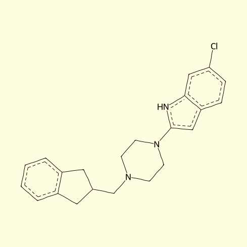 Clc1ccc2cc(N3CCN(CC4Cc5ccccc5C4)CC3)[nH]c2c1